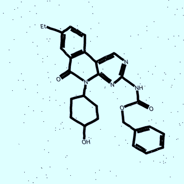 CCc1ccc2c(c1)c(=O)n(C1CCC(O)CC1)c1nc(NC(=O)OCc3ccccc3)ncc21